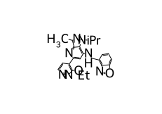 CCOc1nnccc1-c1cc(NCc2cccc3ocnc23)c2c(n1)c(C)nn2C(C)C